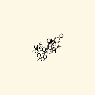 CCOP(=O)(CO[C@]1(C(=O)COC(C)=O)CC[C@H]2[C@@H]3C[C@H](C)C4=CC(=O)C=C[C@]4(C)[C@H]3[C@@H](O)C[C@@]21C)OCC